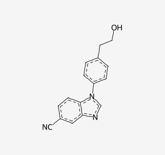 N#Cc1ccc2c(c1)ncn2-c1ccc(CCO)cc1